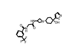 O=C(CNC(=O)c1cccc(C(F)(F)F)c1)NC1CN([C@H]2CC[C@@](O)(c3ccns3)CC2)C1